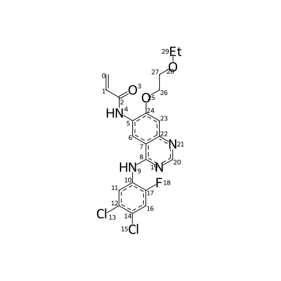 C=CC(=O)Nc1cc2c(Nc3cc(Cl)c(Cl)cc3F)ncnc2cc1OCCOCC